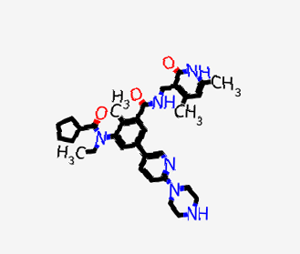 CCN(C(=O)C1CCCC1)c1cc(-c2ccc(N3CCNCC3)nc2)cc(C(=O)NCc2c(C)cc(C)[nH]c2=O)c1C